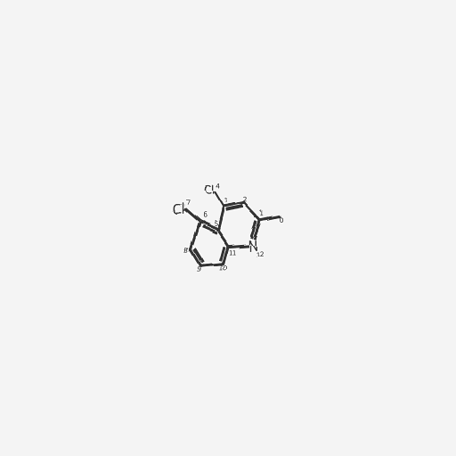 Cc1cc(Cl)c2c(Cl)cccc2n1